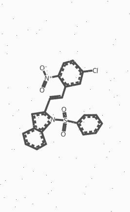 O=[N+]([O-])c1ccc(Cl)cc1C=Cc1cc2ccccc2n1S(=O)(=O)c1ccccc1